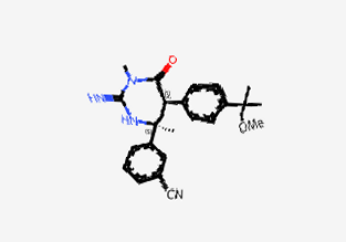 COC(C)(C)c1ccc([C@@H]2C(=O)N(C)C(=N)N[C@]2(C)c2cccc(C#N)c2)cc1